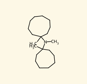 CN(C1(C)CCCCCCCC1)C1(C)CCCCCCC1